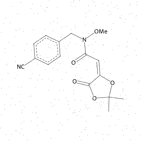 CON(Cc1ccc(C#N)cc1)C(=O)C=C1OC(C)(C)OC1=O